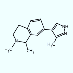 Cc1n[nH]cc1-c1ccc2c(c1)C(C)N(C)CC2